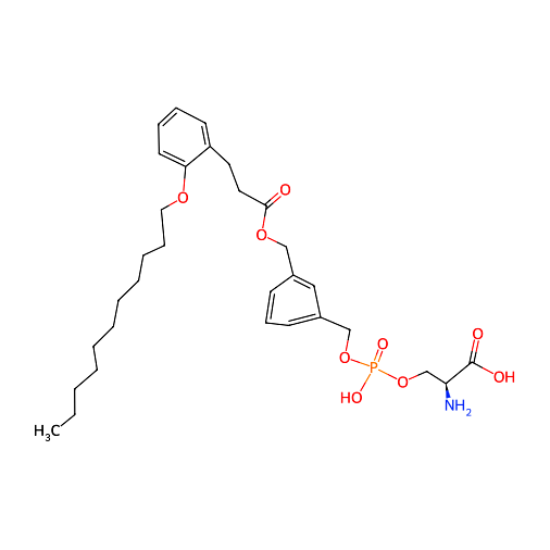 CCCCCCCCCCCOc1ccccc1CCC(=O)OCc1cccc(COP(=O)(O)OC[C@H](N)C(=O)O)c1